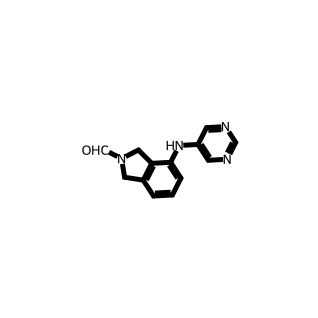 O=CN1Cc2cccc(Nc3cncnc3)c2C1